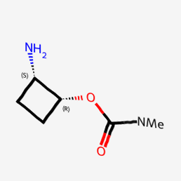 CNC(=O)O[C@@H]1CC[C@@H]1N